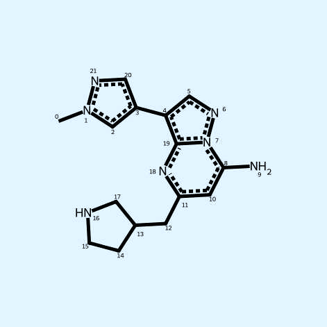 Cn1cc(-c2cnn3c(N)cc(CC4CCNC4)nc23)cn1